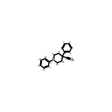 N#CC1(c2ccccc2)CCN(c2ccccc2)CC1